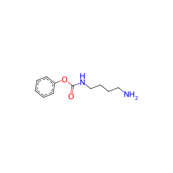 NCCCCNC(=O)Oc1ccccc1